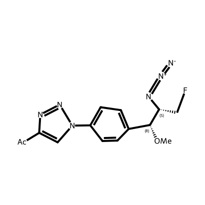 CO[C@H](c1ccc(-n2cc(C(C)=O)nn2)cc1)[C@@H](CF)N=[N+]=[N-]